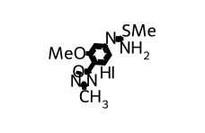 COc1cc(N=C(N)SC)ccc1-c1nc(C)no1.I